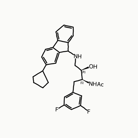 CC(=O)N[C@@H](Cc1cc(F)cc(F)c1)[C@H](O)CNC1c2ccccc2-c2ccc(C3CCCC3)cc21